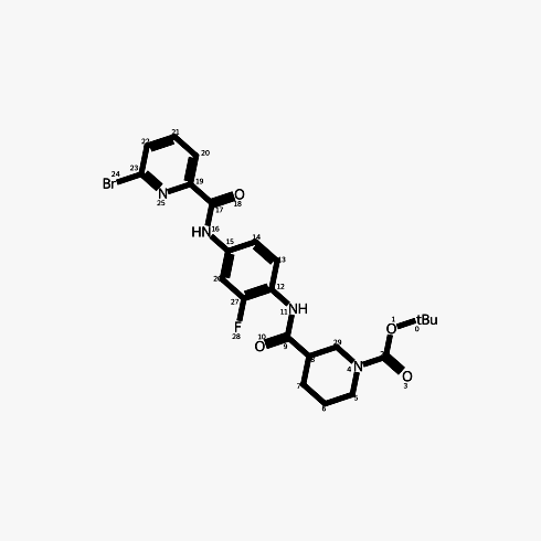 CC(C)(C)OC(=O)N1CCCC(C(=O)Nc2ccc(NC(=O)c3cccc(Br)n3)cc2F)C1